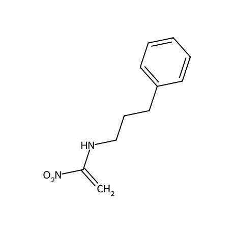 C=C(NCCCc1ccccc1)[N+](=O)[O-]